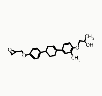 Cc1cc(C2=CCC(c3ccc(OCC4CO4)cc3)CC2)ccc1OCC(C)O